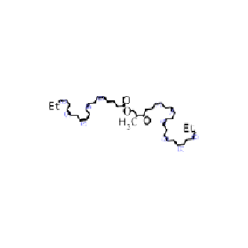 CC/C=C\C/C=C\C/C=C\C/C=C\C/C=C\C/C=C\CCC(=O)C(C)COC(=O)CCC/C=C\C/C=C\C/C=C\C/C=C\C/C=C\CC